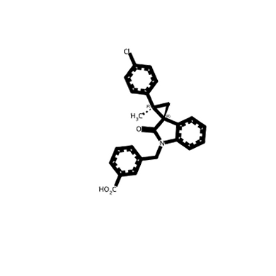 C[C@]1(c2ccc(Cl)cc2)C[C@@]12C(=O)N(Cc1cccc(C(=O)O)c1)c1ccccc12